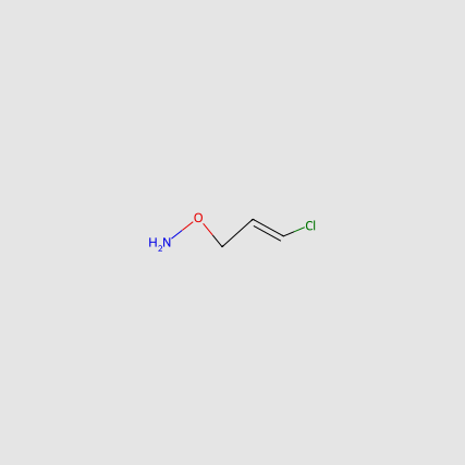 NOC/C=C/Cl